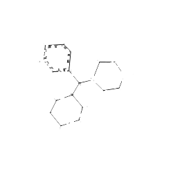 c1ccc(C(C2CCCCC2)N2CCOCC2)cc1